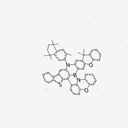 Cc1cc2c(cc1N1c3cc4c(cc3B3c5c1cc1c(sc6ccccc61)c5-c1cccc5c1N3c1ccccc1O5)Oc1ccccc1C4(C)C)C(C)(C)CCC2(C)C